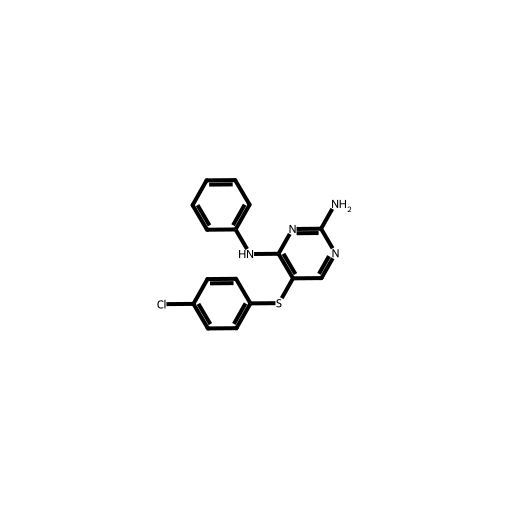 Nc1ncc(Sc2ccc(Cl)cc2)c(Nc2ccccc2)n1